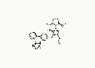 CCCc1cn(-c2c(OC)cccc2OC)c(=O)n1Cc1ccc(-c2cccnc2-c2nnn[nH]2)cc1